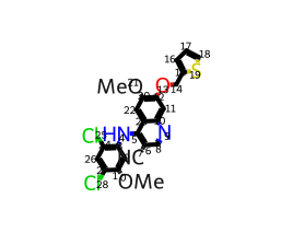 COc1cc(Nc2c(C#N)cnc3cc(OCc4cccs4)c(OC)cc23)c(Cl)cc1Cl